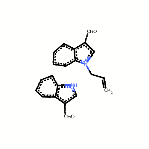 C=CCn1cc(C=O)c2ccccc21.O=Cc1c[nH]c2ccccc12